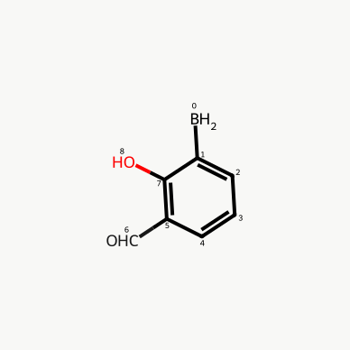 Bc1cccc(C=O)c1O